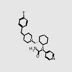 NC(=O)N(c1ccncc1)[C@@H]1CCCC[C@H]1CN1CCC(Cc2ccc(F)cc2)CC1